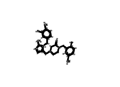 Cc1ncc(CN2CCN(Cc3nc(O)ccc3Br)C(=O)C2)n1Cc1ccc(C#N)c(F)c1